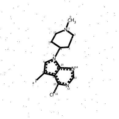 CN1CCC(n2cc(I)c3c(Cl)ncnc32)CC1